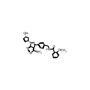 COc1ccccc1C(=O)NCc1ccc(-c2nn([C@@H]3C=C[C@H](O)C3)c3ncnc(N)c23)cc1